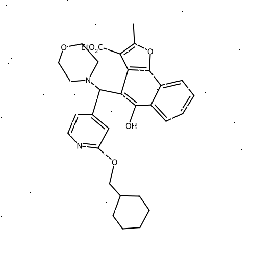 CCOC(=O)c1c(C)oc2c1c(C(c1ccnc(OCC3CCCCC3)c1)N1CCOCC1)c(O)c1ccccc12